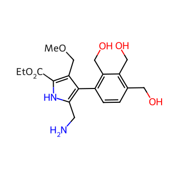 CCOC(=O)c1[nH]c(CN)c(-c2ccc(CO)c(CO)c2CO)c1COC